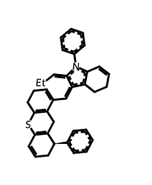 CC/C=c1\c(=C/C2=CCCC3=C2CC2=C(C=CC[C@@H]2c2ccccc2)S3)c2c(n1-c1ccccc1)C=CCC2